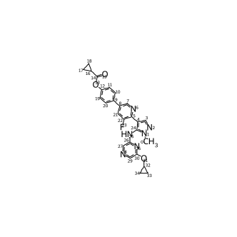 Cn1ncc(-c2ncc(-c3ccc(OC(=O)C4CC4)cc3)cc2F)c1Nc1cncc(OC2CC2)n1